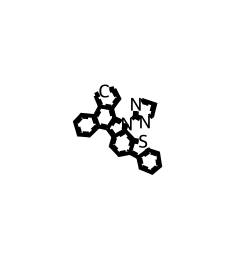 c1cnc(-n2c3c(ccc4c5ccccc5sc43)c3c4ccccc4c4ccccc4c32)nc1